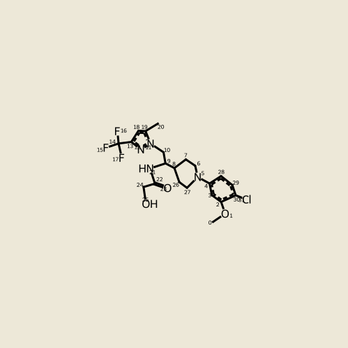 COc1cc(N2CCC(C(Cn3nc(C(F)(F)F)cc3C)NC(=O)CO)CC2)ccc1Cl